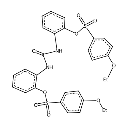 CCOc1ccc(S(=O)(=O)Oc2ccccc2NC(=O)Nc2ccccc2OS(=O)(=O)c2ccc(OCC)cc2)cc1